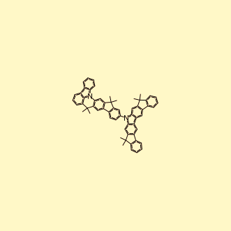 CC1(C)c2cc(-n3c4cc5c(cc4c4cc6c(cc43)C(C)(C)c3ccccc3-6)-c3ccccc3C5(C)C)ccc2-c2cc3c(cc21)-n1c2ccccc2c2cccc(c21)C3(C)C